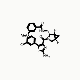 COc1cccc(C(=O)NC[C@@H]2[C@@H]3C[C@@H]3CN2C(=O)c2nc(N)sc2-c2cccc(Cl)c2)c1